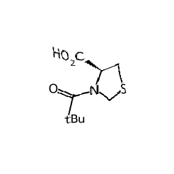 CC(C)(C)C(=O)N1CSC[C@@H]1C(=O)O